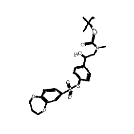 CN(CC(O)c1ccc(OS(=O)(=O)c2ccc3c(c2)OCCCO3)cc1)C(=O)OC(C)(C)C